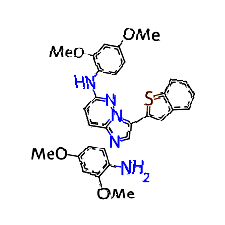 COc1ccc(N)c(OC)c1.COc1ccc(Nc2ccc3ncc(-c4cc5ccccc5s4)n3n2)c(OC)c1